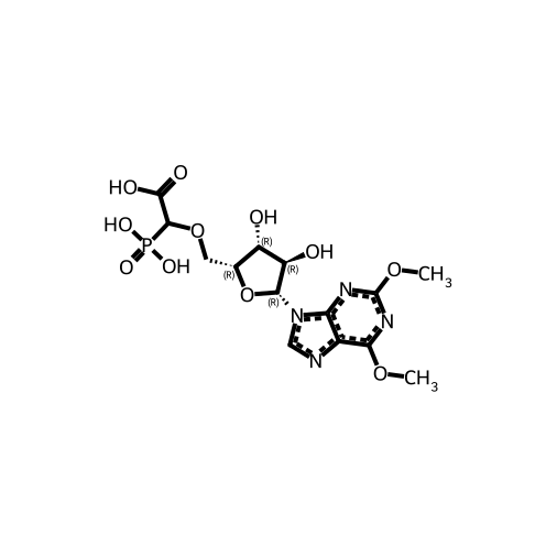 COc1nc(OC)c2ncn([C@@H]3O[C@H](COC(C(=O)O)P(=O)(O)O)[C@H](O)[C@H]3O)c2n1